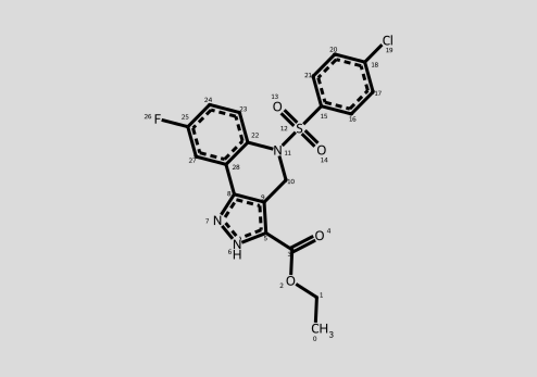 CCOC(=O)c1[nH]nc2c1CN(S(=O)(=O)c1ccc(Cl)cc1)c1ccc(F)cc1-2